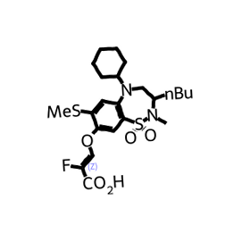 CCCCC1CN(C2CCCCC2)c2cc(SC)c(O/C=C(\F)C(=O)O)cc2S(=O)(=O)N1C